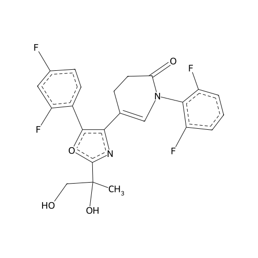 CC(O)(CO)c1nc(C2=CN(c3c(F)cccc3F)C(=O)CC2)c(-c2ccc(F)cc2F)o1